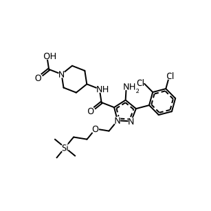 C[Si](C)(C)CCOCn1nc(-c2cccc(Cl)c2Cl)c(N)c1C(=O)NC1CCN(C(=O)O)CC1